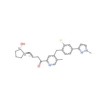 Cc1cnc(C(=O)C/C=C/[C@H]2CCC[C@@H]2O)cc1Cc1ccc(-c2ccn(C)n2)cc1F